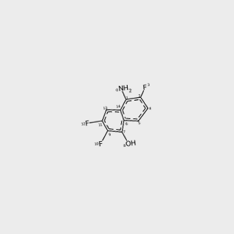 Nc1c(F)ccc2c(O)c(F)c(F)cc12